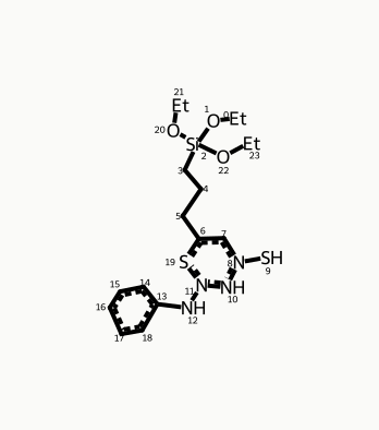 CCO[Si](CCCc1cn(S)[nH]n(Nc2ccccc2)s1)(OCC)OCC